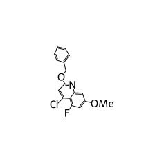 COc1cc(F)c2c(Cl)cc(OCc3ccccc3)nc2c1